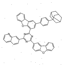 c1cnc2cc(-c3nc(-c4ccc5oc6ccccc6c5c4)nc(-c4cc(-c5ccc(C67CC8CC(CC(C8)C6)C7)cc5)cc5c4oc4ccccc45)n3)ccc2c1